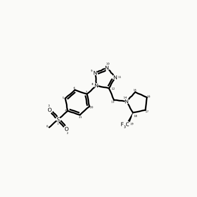 CS(=O)(=O)c1ccc(-n2nnnc2CN2CCC[C@H]2C(F)(F)F)cc1